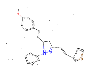 COc1ccc(C=CC2CC(C=Cc3ccsc3)=NN2c2ccccc2)cc1